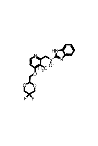 Cc1c(OCC2OCC(F)(F)CO2)ccnc1C[S+]([O-])c1nc2ccccc2[nH]1